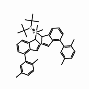 Cc1ccc(C)c(-c2cccc3c2C=C[CH]3[Hf]([CH3])([CH3])([CH]2C=Cc3c(-c4cc(C)ccc4C)cccc32)=[Si](C(C)(C)C)C(C)(C)C)c1